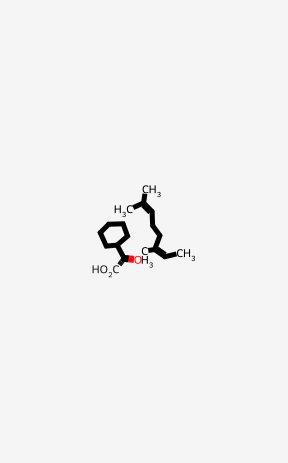 CC=C(C)CCC=C(C)C.O=C(O)C(=O)C1CCCCC1